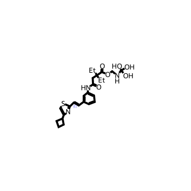 CCC(CC)(CC(=O)Nc1cccc(/C=C/c2nc(C3CCC3)cs2)c1)C(=O)OCNC(O)(O)O